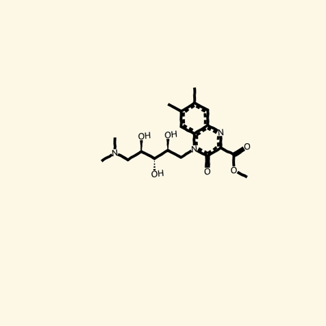 COC(=O)c1nc2cc(C)c(C)cc2n(C[C@H](O)[C@H](O)[C@H](O)CN(C)C)c1=O